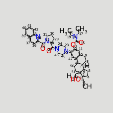 C#C[C@]1(O)CCC2[C@@H]3CCc4cc(OC(=O)N(CC)CC)c(N5CCN(C(=O)[C@@H]6CCCN6C(=O)c6ccc7ccccc7n6)CC5)cc4C3CC[C@@]21C